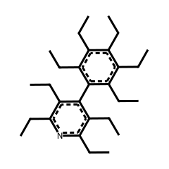 CCc1nc(CC)c(CC)c(-c2c(CC)c(CC)c(CC)c(CC)c2CC)c1CC